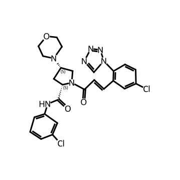 O=C(Nc1cccc(Cl)c1)[C@@H]1C[C@H](N2CCOCC2)CN1C(=O)C=Cc1cc(Cl)ccc1-n1cnnn1